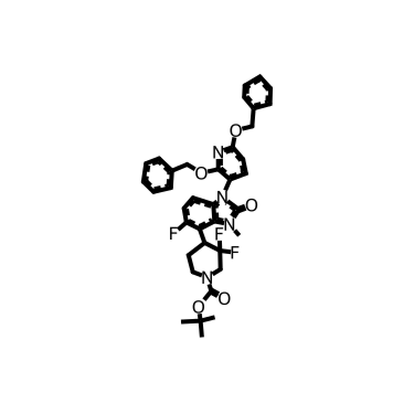 Cn1c(=O)n(-c2ccc(OCc3ccccc3)nc2OCc2ccccc2)c2ccc(F)c(C3CCN(C(=O)OC(C)(C)C)CC3(F)F)c21